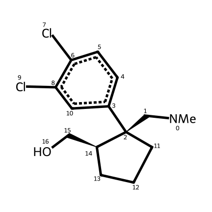 CNC[C@@]1(c2ccc(Cl)c(Cl)c2)CCC[C@H]1CO